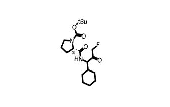 CC(C)(C)OC(=O)N1CCC[C@H]1C(=O)NC(C(=O)CF)C1CCCCC1